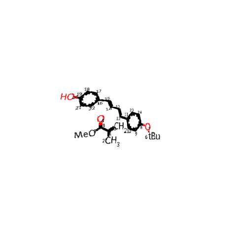 C=C(C)C(=O)OC.CC(C)(C)Oc1ccc(C=CC=Cc2ccc(O)cc2)cc1